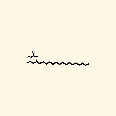 CCCCCCCCCCCCCCCCC(CCC)OC(=O)Cl